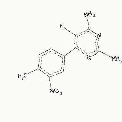 Cc1ccc(-c2nc(N)nc(N)c2F)cc1[N+](=O)[O-]